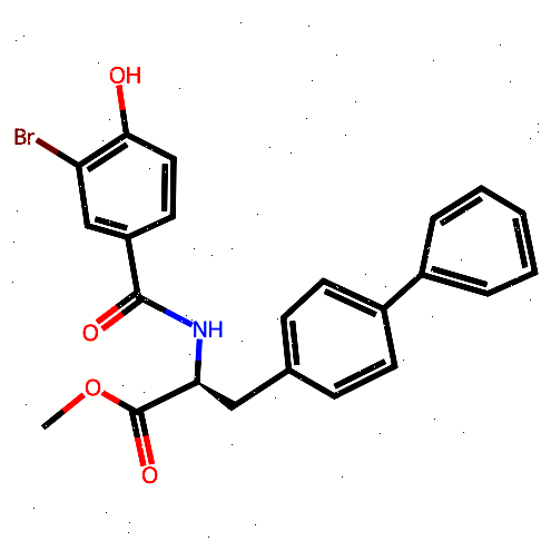 COC(=O)[C@H](Cc1ccc(-c2ccccc2)cc1)NC(=O)c1ccc(O)c(Br)c1